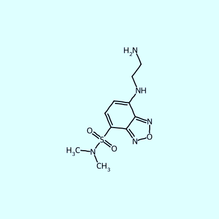 CN(C)S(=O)(=O)c1ccc(NCCN)c2nonc12